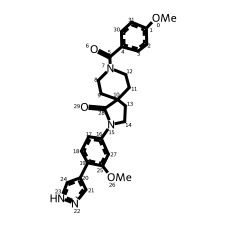 COc1ccc(C(=O)N2CCC3(CC2)CCN(c2ccc(-c4cn[nH]c4)c(OC)c2)C3=O)cc1